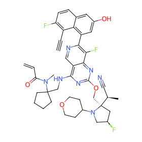 C#Cc1c(F)ccc2cc(O)cc(-c3ncc4c(NCC5(N(C)C(=O)C=C)CCCC5)nc(OC[C@]5([C@H](C)C#N)C[C@@H](F)CN5C5CCOCC5)nc4c3F)c12